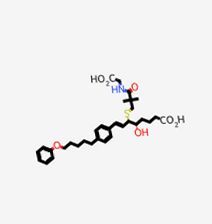 CC(C)(CS[C@H](C=Cc1ccc(CCCCCOc2ccccc2)cc1)[C@@H](O)CCCC(=O)O)C(=O)NCC(=O)O